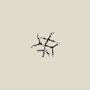 [CH3][Ge]([CH3])([CH3])[Sn]([CH](F)F)([CH](F)F)[C](F)(F)F